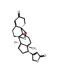 C[C@]12CC[C@@H]3[C@@]45CCC(=O)C=C4CC[C@@]3(OC5)[C@@H]1CC[C@@H]2C1=CC(=O)OC1